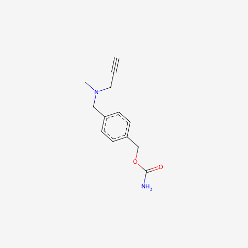 C#CCN(C)Cc1ccc(COC(N)=O)cc1